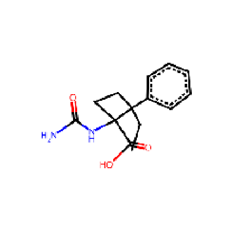 CCC1(c2ccccc2)CCC1(NC(N)=O)C(=O)O